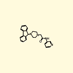 O=C(CN1CCN(C2c3ccccc3-c3ccccc32)CC1)Nc1cccnc1